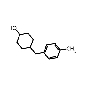 Cc1ccc(CC2CCC(O)CC2)cc1